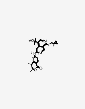 C[C@@H]1OC(=O)c2ccc(Nc3cc4c(C(C)(C)O)cnc(OCC5(F)CC5)c4cn3)nc2[C@H]1C